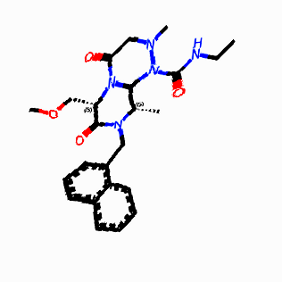 CCNC(=O)N1C2[C@H](C)N(Cc3cccc4ccccc34)C(=O)[C@H](COC)N2C(=O)CN1C